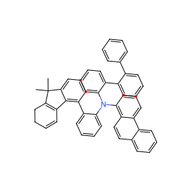 CC1(C)C2=C(C=CCC2)c2c(-c3ccccc3N(c3ccccc3-c3ccccc3-c3ccccc3)c3cccc4c3ccc3ccccc34)cccc21